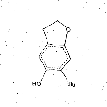 CC(C)(C)c1cc2c(cc1O)CCO2